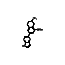 COc1cc(-c2cnc3[nH]ccc3n2)cc2c1CN(C)CC2